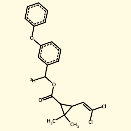 [2H]C(OC(=O)C1C(C=C(Cl)Cl)C1(C)C)c1cccc(Oc2ccccc2)c1